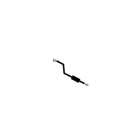 [2H]C#CCCCC